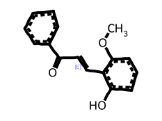 COc1cccc(O)c1/C=C/C(=O)c1ccccc1